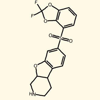 O=S(=O)(c1ccc2c(c1)OC1CNCCC21)c1cccc2c1OC(F)(F)O2